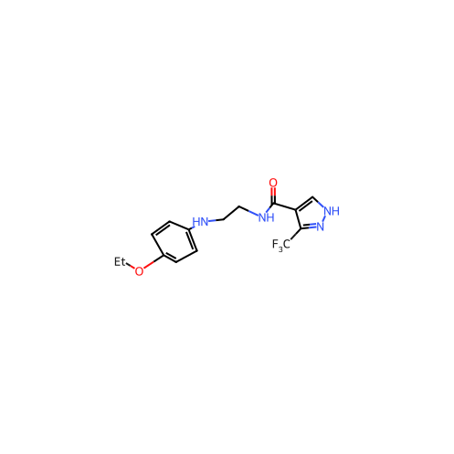 CCOc1ccc(NCCNC(=O)c2c[nH]nc2C(F)(F)F)cc1